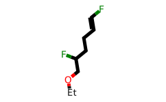 [CH2]COCC(F)CCC=CF